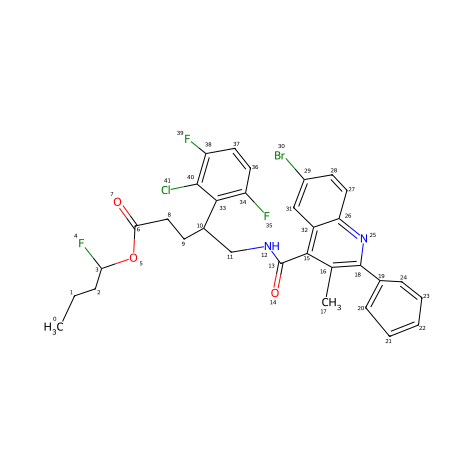 CCCC(F)OC(=O)CCC(CNC(=O)c1c(C)c(-c2ccccc2)nc2ccc(Br)cc12)c1c(F)ccc(F)c1Cl